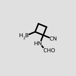 BC1CCC1(C#N)NC=O